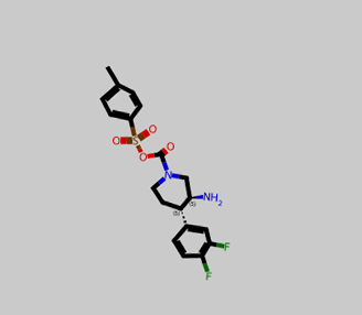 Cc1ccc(S(=O)(=O)OC(=O)N2CC[C@@H](c3ccc(F)c(F)c3)[C@H](N)C2)cc1